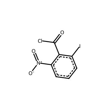 O=C(Cl)c1c(I)cccc1[N+](=O)[O-]